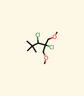 COCC(Cl)(COC)C(Cl)C(C)(C)C